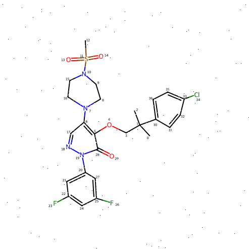 CC(C)(COc1c(N2CCN(S(C)(=O)=O)CC2)cnn(-c2cc(F)cc(F)c2)c1=O)c1ccc(Cl)cc1